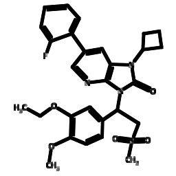 CCOc1cc(C(CS(C)(=O)=O)n2c(=O)n(C3CCC3)c3cc(-c4ccccc4F)cnc32)ccc1OC